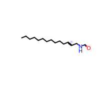 CCCCCCCCCCC/C=C/CNC=O